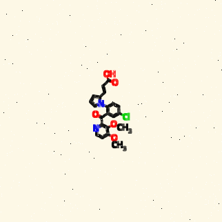 COc1ccnc(C(=O)c2cc(Cl)ccc2-n2cccc2C=CC(=O)O)c1OC